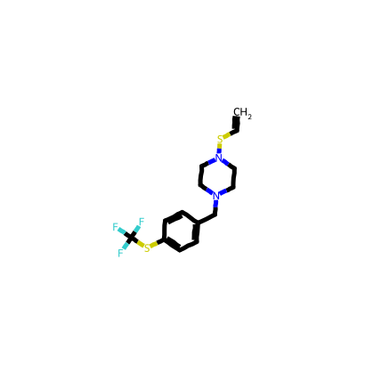 C=CSN1CCN(Cc2ccc(SC(F)(F)F)cc2)CC1